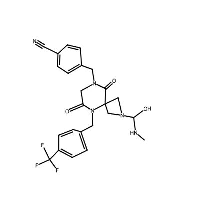 CNC(O)N1CC2(C1)C(=O)N(Cc1ccc(C#N)cc1)CC(=O)N2Cc1ccc(C(F)(F)F)cc1